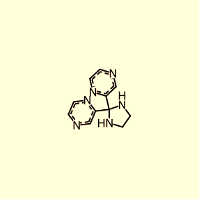 c1cnc(C2(c3cnccn3)NCCN2)cn1